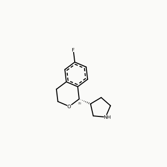 Fc1ccc2c(c1)CCO[C@H]2C1CCNC1